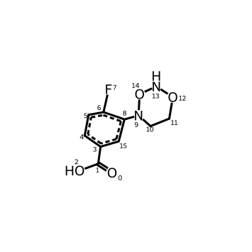 O=C(O)c1ccc(F)c(N2CCONO2)c1